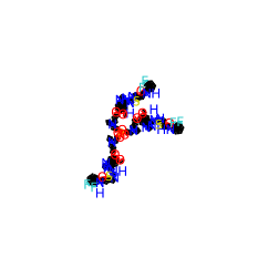 CCN(CCCOc1cc2ncnc(Nc3ncc(CC(=O)Nc4cccc(F)c4F)s3)c2cc1OC)CCOP(=O)(OCCN(CC)CCCOc1cc2ncnc(Nc3ncc(CC(=O)Nc4cccc(F)c4F)s3)c2cc1OC)OCCN(CC)CCCOc1cc2ncnc(Nc3ncc(CC(=O)Nc4cccc(F)c4F)s3)c2cc1OC